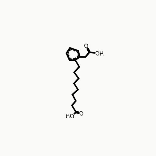 O=C(O)CCCCCCCCc1ccccc1CC(=O)O